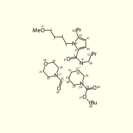 COCCCCn1c(C(=O)N(CC(C)C)[C@H]2C[C@@H](C(=O)N3CCOCC3)CN(C(=O)OC(C)(C)C)C2)ccc1C(C)C